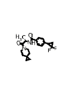 C[C@H](NC(=O)c1ccc(C2CC2(F)F)cc1)C(=O)N1CCC2(CC1)CC2